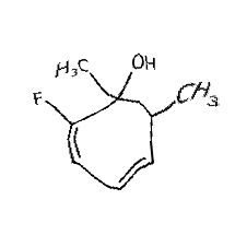 CC1C=CC=C(F)C1(C)O